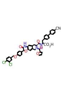 N#Cc1ccc(-c2ccc(C[C@H](NC(=O)[C@@H]3Cc4cc5c(cc4CN3C(=O)c3ccco3)OC(c3ccc(OCc4ccc(Cl)c(Cl)c4)cc3)C(=O)N5)C(=O)O)cc2)cc1